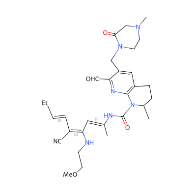 CC/C=C/C(C#N)=C(\C=C(/C)NC(=O)N1c2nc(C=O)c(CN3CCN(C)CC3=O)cc2CCC1C)NCCOC